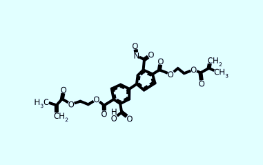 C=C(C)C(=O)OCCOC(=O)c1ccc(-c2ccc(C(=O)OCCOC(=O)C(=C)C)c(C(=O)N=O)c2)cc1C(=O)O